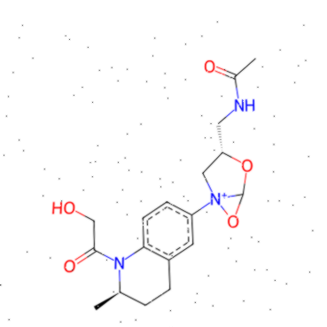 CC(=O)NC[C@H]1C[N+]2(c3ccc4c(c3)CC[C@@H](C)N4C(=O)CO)OC2O1